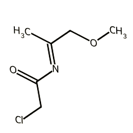 COCC(C)=NC(=O)CCl